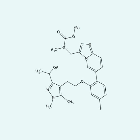 Cc1c(CCOc2cc(F)ccc2-c2ccc3ncc(CN(C)C(=O)OC(C)(C)C)n3c2)c(C(C)O)nn1C